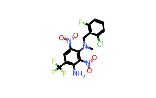 CN(Cc1c(F)cccc1Cl)c1c([N+](=O)[O-])cc(C(F)(F)F)c(N)c1[N+](=O)[O-]